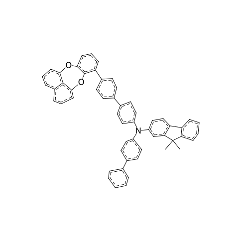 CC1(C)c2ccccc2-c2ccc(N(c3ccc(-c4ccccc4)cc3)c3ccc(-c4ccc(-c5cccc6c5Oc5cccc7cccc(c57)O6)cc4)cc3)cc21